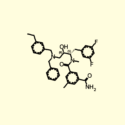 CCc1cccc(CN(Cc2ccccc2)C[C@@H](O)[C@H](Cc2cc(F)cc(F)c2)N(C)C(=O)c2cc(C)cc(C(N)=O)c2)c1